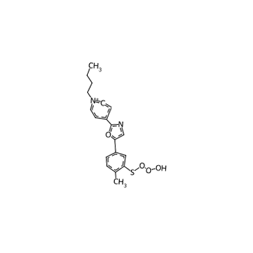 CCCC[n+]1ccc(-c2ncc(-c3ccc(C)c(SOOO)c3)o2)cc1